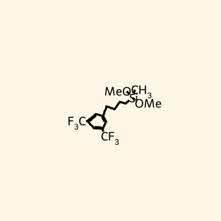 CO[Si](C)(CCCCc1cc(C(F)(F)F)cc(C(F)(F)F)c1)OC